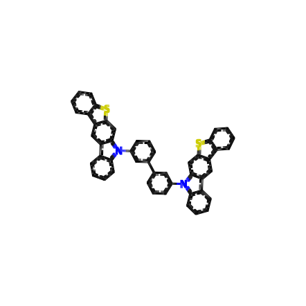 c1cc(-c2cccc(-n3c4ccccc4c4cc5c(cc43)sc3ccccc35)c2)cc(-n2c3ccccc3c3cc4c(cc32)sc2ccccc24)c1